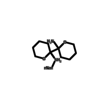 CCCCCCCCC[SiH2]C1(C2([SiH3])CCCCO2)CCCCO1